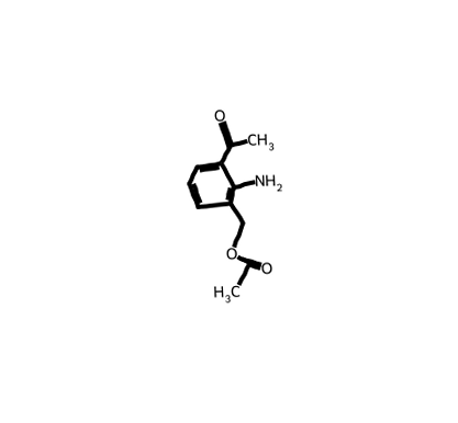 CC(=O)OCc1cccc(C(C)=O)c1N